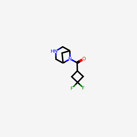 O=C(C1CC(F)(F)C1)N1C2CNCC1C2